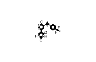 O=c1[nH]cc(-c2cc([C@H]3C[C@@H]3c3ccc(C(F)(F)F)cc3)c(Cl)nn2)c(=O)[nH]1